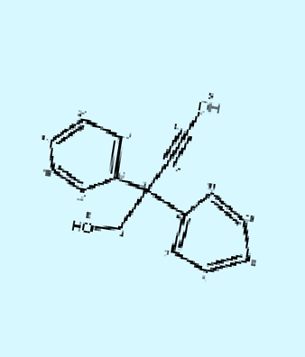 OC#CC(CO)(c1ccccc1)c1ccccc1